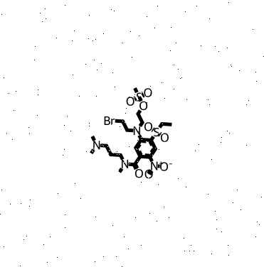 CCS(=O)(=O)c1cc([N+](=O)[O-])c(C(=O)N(C)CCCN(C)C)cc1N(CCBr)CCOS(C)(=O)=O